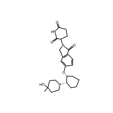 CC1(O)CCN([C@H]2CCCC[C@H]2Oc2ccc3c(c2)CN(C2CCC(=O)NC2=O)C3=O)CC1